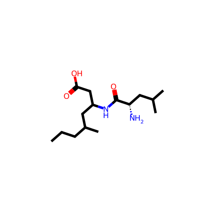 CCCC(C)CC(CC(=O)O)NC(=O)[C@@H](N)CC(C)C